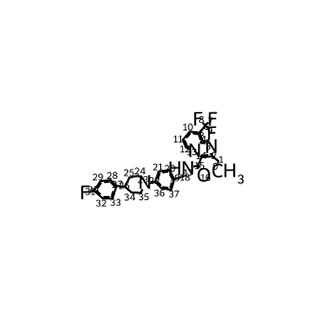 CCc1nc2c(C(F)(F)F)cccn2c1C(=O)NCc1ccc(N2CCC(c3ccc(F)cc3)CC2)cc1